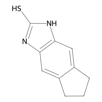 Sc1nc2cc3c(cc2[nH]1)CCC3